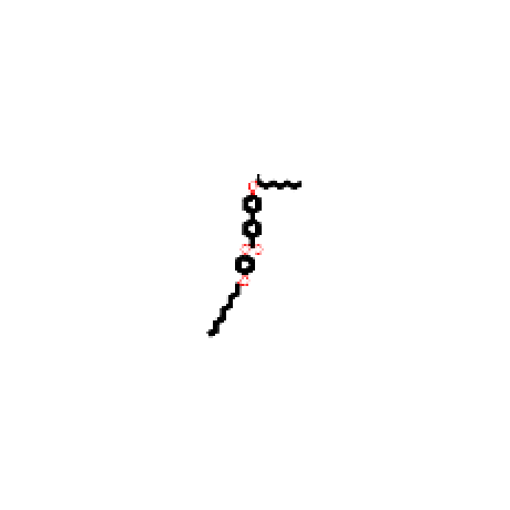 C=CCCCCCCCOc1ccc(OC(=O)c2ccc(-c3ccc(O[C@@H](C)CCCCCC)cc3)cc2)cc1